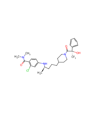 C[C@H](CCCC1CCN(C(=O)[C@](O)(c2ccccc2)C(F)(F)F)CC1)Nc1ccc(C(=O)N(C)C)c(Cl)c1